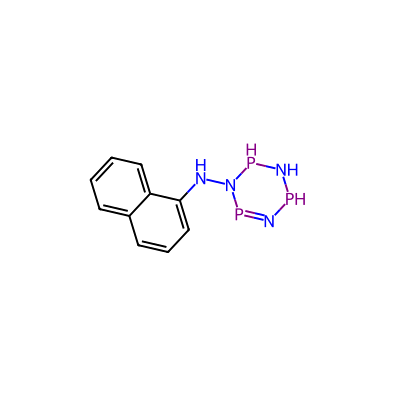 c1ccc2c(Nn3pn[pH][nH][pH]3)cccc2c1